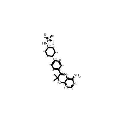 CC1(C)Oc2ncnc(N)c2N=C1c1ccc([C@H]2CC[C@H](NS(C)(=O)=O)CC2)cc1